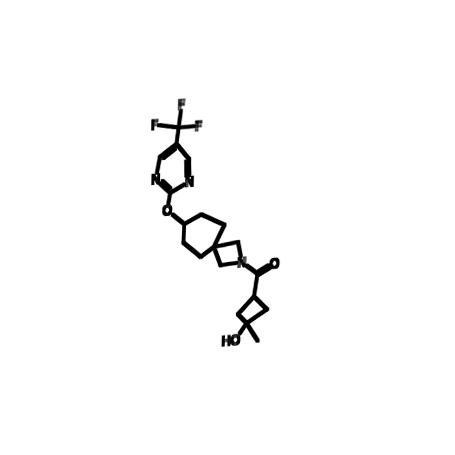 CC1(O)CC(C(=O)N2CC3(CCC(Oc4ncc(C(F)(F)F)cn4)CC3)C2)C1